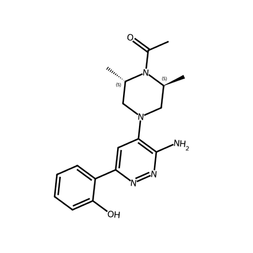 CC(=O)N1[C@@H](C)CN(c2cc(-c3ccccc3O)nnc2N)C[C@@H]1C